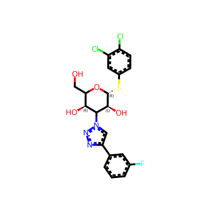 OCC1O[C@H](Sc2ccc(Cl)c(Cl)c2)[C@@H](O)C(n2cc(-c3cccc(F)c3)nn2)[C@H]1O